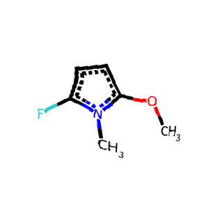 COc1ccc(F)n1C